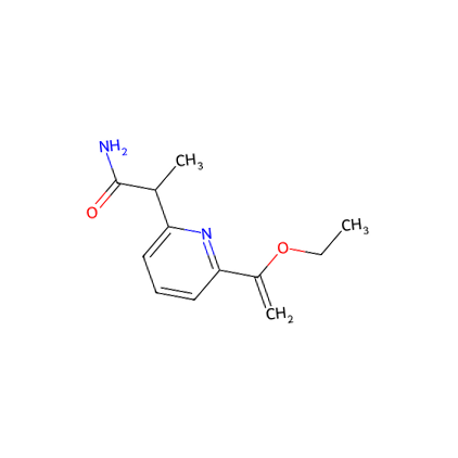 C=C(OCC)c1cccc(C(C)C(N)=O)n1